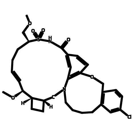 COC[C@@H]1CC/C=C/[C@H](OC)[C@@H]2CC[C@H]2CN2CCCCc3cc(Cl)ccc3COc3ccc(cc32)C(=O)NS1(=O)=O